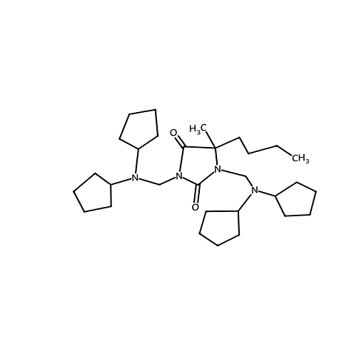 CCCCC1(C)C(=O)N(CN(C2CCCC2)C2CCCC2)C(=O)N1CN(C1CCCC1)C1CCCC1